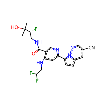 CC(C)(O)[C@H](F)CNC(=O)c1cnc(-c2ccc3cc(C#N)cnn23)cc1NCC(F)F